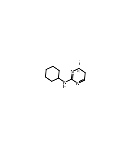 C[C@@H]1CC=NC(NC2CCCCC2)=N1